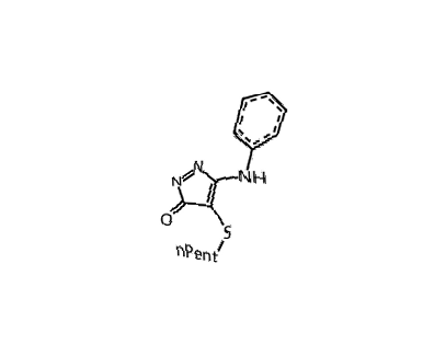 CCCCCSC1=C(Nc2ccccc2)N=NC1=O